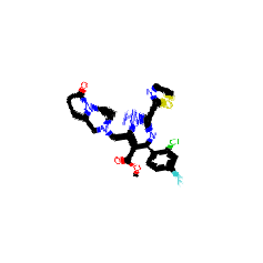 COC(=O)C1=C(CN2CCN3C(=O)CCC3C2)NC(c2nccs2)=N[C@H]1c1ccc(F)cc1Cl